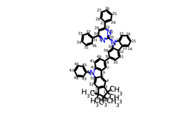 CC1(C)c2cc3c4cc(-c5ccc6c7ccccc7n(-c7nc(-c8ccccc8)cc(-c8ccccc8)n7)c6c5)ccc4n(-c4ccccc4)c3cc2C(C)(C)C1(C)C